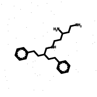 NCCC(N)CCNCC(CCc1ccccc1)CCc1ccccc1